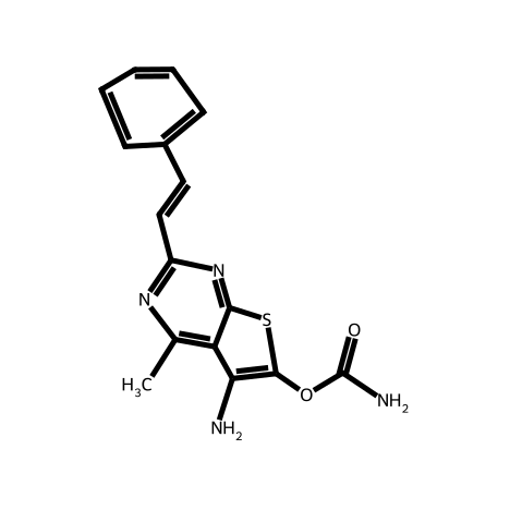 Cc1nc(C=Cc2ccccc2)nc2sc(OC(N)=O)c(N)c12